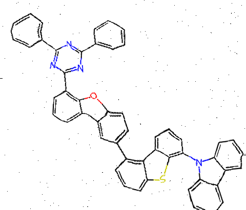 c1ccc(-c2nc(-c3ccccc3)nc(-c3cccc4c3oc3ccc(-c5cccc6sc7c(-n8c9ccccc9c9ccccc98)cccc7c56)cc34)n2)cc1